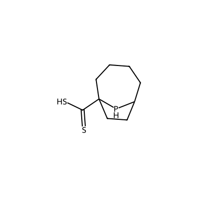 S=C(S)C12CCCCC(CC1)P2